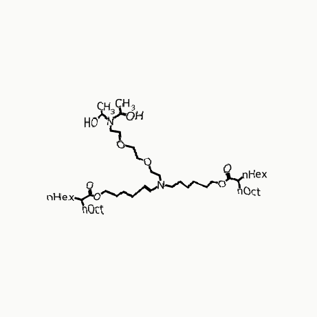 CCCCCCCCC(CCCCCC)C(=O)OCCCCCCN(CCCCCCOC(=O)C(CCCCCC)CCCCCCCC)CCOCCOCCN(C(C)O)C(C)O